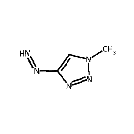 Cn1cc(N=N)nn1